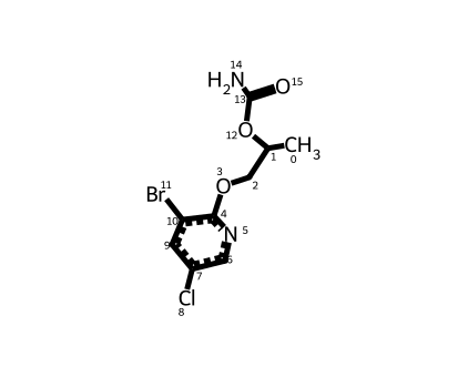 CC(COc1ncc(Cl)cc1Br)OC(N)=O